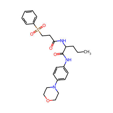 CCCC(NC(=O)CCS(=O)(=O)c1ccccc1)C(=O)Nc1ccc(N2CCOCC2)cc1